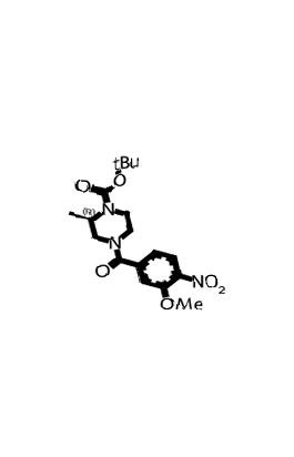 COc1cc(C(=O)N2CCN(C(=O)OC(C)(C)C)[C@H](C)C2)ccc1[N+](=O)[O-]